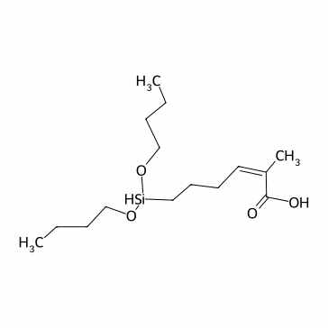 CCCCO[SiH](CCCC=C(C)C(=O)O)OCCCC